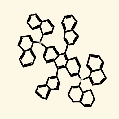 C1=CC2=C(CC1)C(N(c1ccc3c(-c4ccc5ccccc5c4)c4cc(N(c5cccc6ccccc56)c5cccc6ccccc56)ccc4c(-c4ccc5ccccc5c4)c3c1)c1cccc3ccccc13)=CCC2